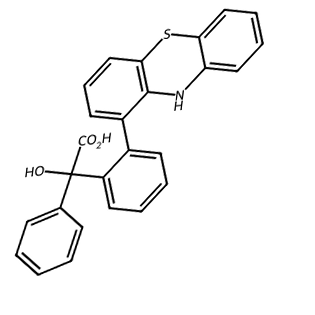 O=C(O)C(O)(c1ccccc1)c1ccccc1-c1cccc2c1Nc1ccccc1S2